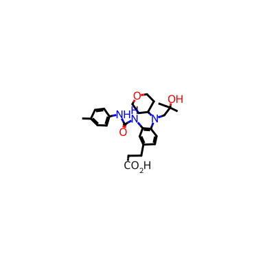 Cc1ccc(NC(=O)Nc2cc(CCC(=O)O)ccc2N(CC(C)(C)O)C2CCOCC2)cc1